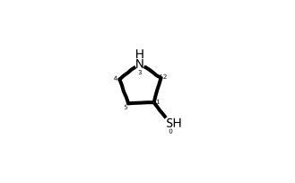 SC1[CH]NCC1